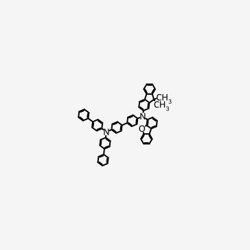 CC1(C)c2ccccc2-c2ccc(N(c3ccc(-c4ccc(N(c5ccc(-c6ccccc6)cc5)c5ccc(-c6ccccc6)cc5)cc4)cc3)c3cccc4c3oc3ccccc34)cc21